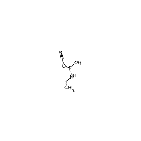 CCNP(O)OC#N